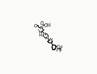 CNC(CN(CC=O)C(=O)O)N1CCN(c2ccc(-c3cccc(OC(F)(F)F)c3)cn2)CC1